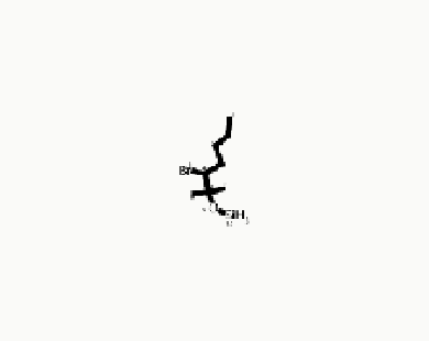 CCCCC(Br)C(C)(C)O[SiH3]